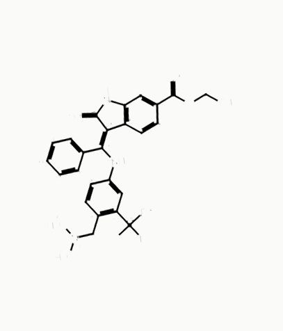 CCOC(=O)c1ccc2c(c1)NC(=O)/C2=C(/Nc1ccc(CN(C)C)c(C(F)(F)F)c1)c1ccccc1